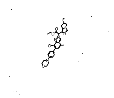 CCOC(=O)C(c1ncn2c1CC(F)C2)n1cc2c(C)cc(-c3ccc(N4CCOCC4)cc3)c(Cl)c2n1